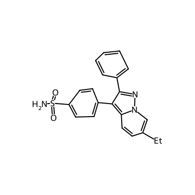 CCc1ccc2c(-c3ccc(S(N)(=O)=O)cc3)c(-c3ccccc3)nn2c1